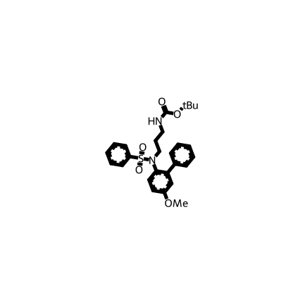 COc1ccc(N(CCCNC(=O)OC(C)(C)C)S(=O)(=O)c2ccccc2)c(-c2ccccc2)c1